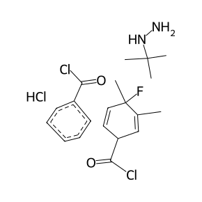 CC(C)(C)NN.CC1=CC(C(=O)Cl)C=CC1(C)F.Cl.O=C(Cl)c1ccccc1